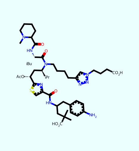 CC[C@H](C)[C@H](NC(=O)C1CCCCN1C)C(=O)N(CCCCc1cn(CCCC(=O)O)nn1)[C@H](C[C@@H](OC(C)=O)c1nc(C(=O)NC(Cc2ccc(N)cc2)CC(C)(C)C(=O)O)cs1)C(C)C